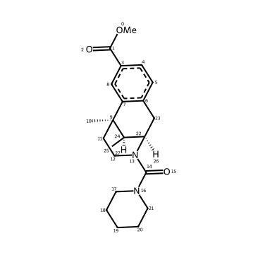 COC(=O)c1ccc2c(c1)[C@]1(C)CCN(C(=O)N3CCCCC3)[C@H](C2)[C@H]1C